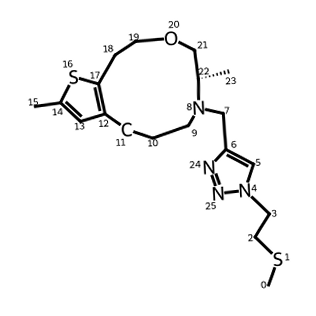 CSCCn1cc(CN2CCCc3cc(C)sc3CCOC[C@@H]2C)nn1